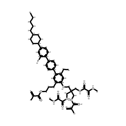 C=C(C)C(=O)OCCCc1cc(-c2ccc(-c3ccc(C4CCC(CCCCC)CC4)cc3F)cc2)c(CC)cc1OCC(COC(=O)C(=C)C)(COC(=O)C(=O)OC)COC(=O)C(=O)OC